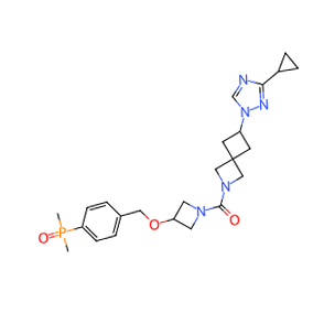 CP(C)(=O)c1ccc(COC2CN(C(=O)N3CC4(CC(n5cnc(C6CC6)n5)C4)C3)C2)cc1